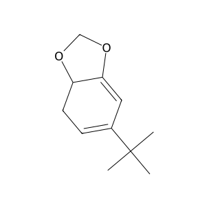 CC(C)(C)C1=CCC2OCOC2=C1